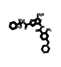 CCOC(=O)n1nc(NC(=O)c2ccc(CN3CCOCC3)cc2[N+](=O)[O-])c2cc(C(=O)NC(C)(C)c3ccccc3)sc21